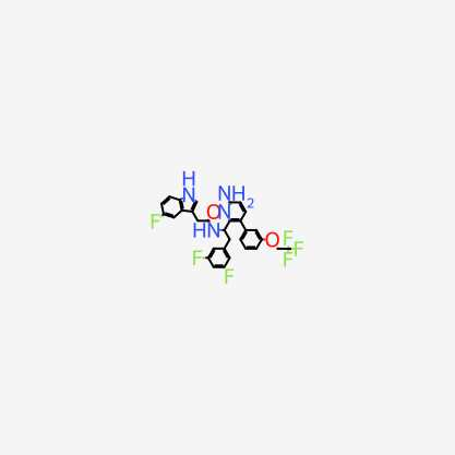 Nc1ccc(-c2cccc(OCC(F)(F)F)c2)c(C(Cc2cc(F)cc(F)c2)NC(=O)Cc2c[nH]c3ccc(F)cc23)n1